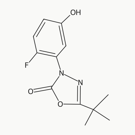 CC(C)(C)c1nn(-c2cc(O)ccc2F)c(=O)o1